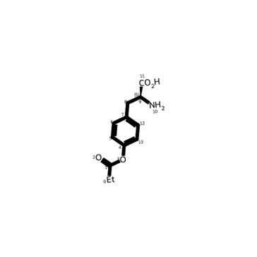 CCC(=O)Oc1ccc(C[C@H](N)C(=O)O)cc1